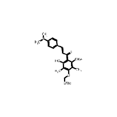 COCOc1c(C)c(O)c(C(=O)/C=C/c2ccc(N(C)C)cc2)c(OC)c1C